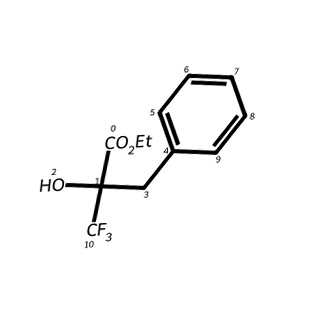 CCOC(=O)C(O)(Cc1ccccc1)C(F)(F)F